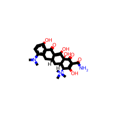 CN(C)c1ccc(O)c2c1C[C@H]1C[C@H]3[C@H]([N+](C)(C)C)C(O)=C(C(N)=O)C(=O)[C@@]3(O)C(O)=C1C2=O